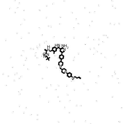 C=CCCN(C)c1ccc(N2CCC(CN3CCC(c4ccc(-c5cnc(N)c(C(=N)c6ccc(CNC(=C)c7nc(C(C)(C)C)no7)c(C)c6)c5)cc4)CC3)CC2)cc1